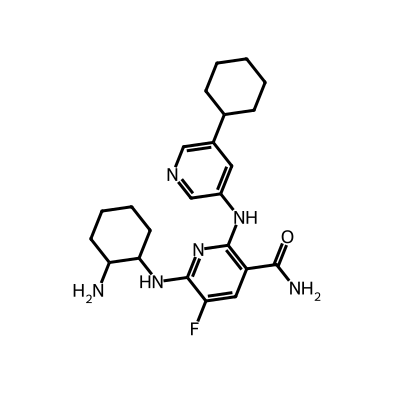 NC(=O)c1cc(F)c(NC2CCCCC2N)nc1Nc1cncc(C2CCCCC2)c1